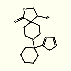 CCCC1CNC(=O)C12CCN(C1(c3cccs3)CCCCC1)CC2